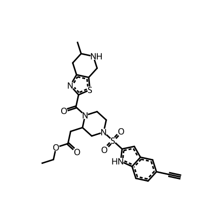 C#Cc1ccc2[nH]c(S(=O)(=O)N3CCN(C(=O)c4nc5c(s4)CNC(C)C5)C(CC(=O)OCC)C3)cc2c1